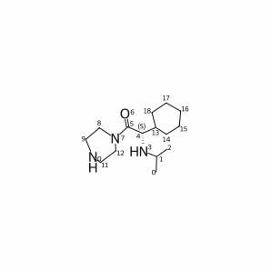 CC(C)N[C@H](C(=O)N1CCNCC1)C1CCCCC1